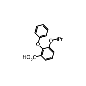 CC(C)Oc1cccc(C(=O)O)c1Oc1ccccc1